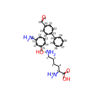 NCCCC[C@H](N)C(=O)O.Nc1cccc(O)c1.O=Cc1ccc(-c2ccccc2)cc1